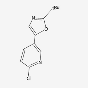 CC(C)(C)c1ncc(-c2ccc(Cl)nc2)o1